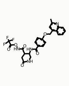 Cc1cc(COc2ccc(C(=O)NC3CNC(=O)CC3C(=O)NOC(=O)C(F)(F)F)cc2)c2ccccc2n1